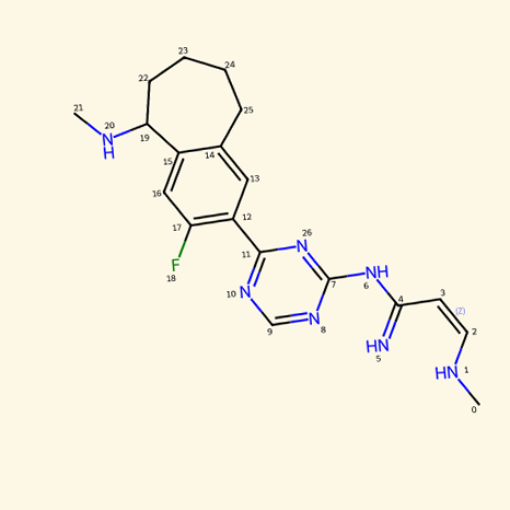 CN/C=C\C(=N)Nc1ncnc(-c2cc3c(cc2F)C(NC)CCCC3)n1